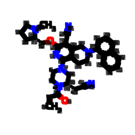 C=CC(=O)N1CCN(c2nc(OC[C@@H]3CCCN3C)c(C#N)c3c2CCN(c2cccc4ccccc24)C3)C[C@@H]1CC#N